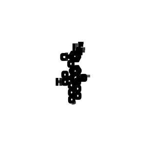 COC(=O)OC(=O)OCC(C(=O)O)c1cc(Oc2ccc(C(F)(F)F)cc2Cl)ccc1[N+](=O)[O-]